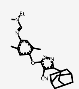 CCN(C)C=Nc1cc(C)c(Oc2snc(C34CC5CC(CC(C5)C3)C4)c2C#N)cc1C